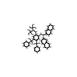 CC(C)(c1ccccc1)c1cc(CP(c2ccc3ccccc3n2)c2ccc3ccccc3n2)c(CP(C(C)(C)C)C(C)(C)C)cc1C(C)(C)c1ccccc1